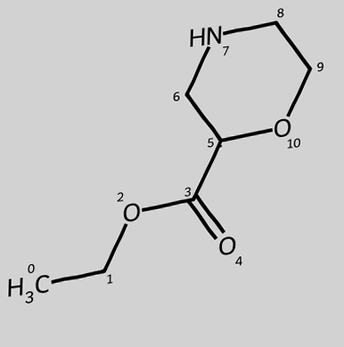 CCOC(=O)[C]1CNCCO1